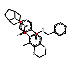 Cc1c(C(=O)NC2CC3CCC(C2)N3c2ccc(C(=O)NCc3ccccc3)cn2)ccc2c1OCCO2